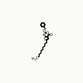 CCCCCCCCCCc1cc2c(=O)oc(OCc3ccccc3)nc2s1